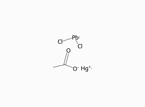 CC(=O)[O-].[Cl][Pb][Cl].[Hg+]